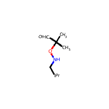 CC(C)CNOC(C)(C)C=O